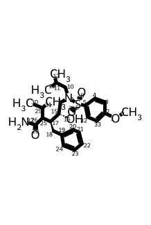 COc1ccc(S(=O)(=O)N(CC(C)C)C[C@H](O)[C@@H](Cc2ccccc2)C(C(N)=O)C(C)C)cc1